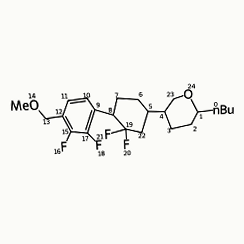 CCCCC1CCC(C2CCC(c3ccc(COC)c(F)c3F)C(F)(F)C2)CO1